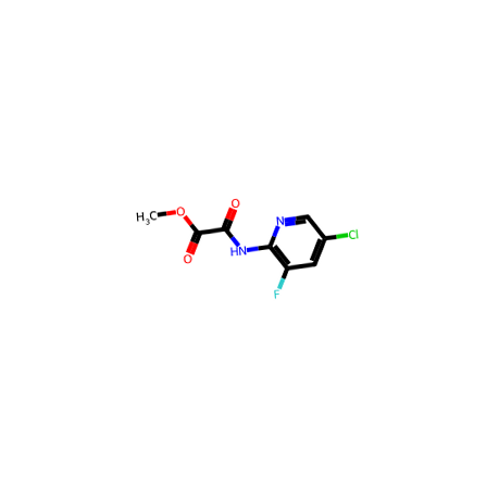 COC(=O)C(=O)Nc1ncc(Cl)cc1F